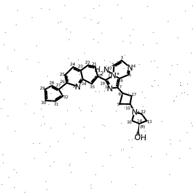 N[N+]12C=CN=CC1=C(C1CC(N3CC[C@@H](O)C3)C1)N=C2c1ccc2ccc(-c3ccccc3)nc2c1